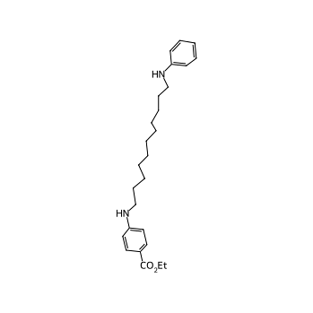 CCOC(=O)c1ccc(NCCCCCCCCCCCNc2ccccc2)cc1